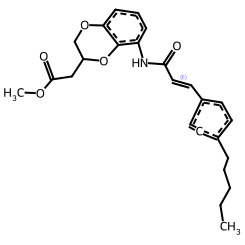 CCCCCc1ccc(/C=C/C(=O)Nc2cccc3c2OC(CC(=O)OC)CO3)cc1